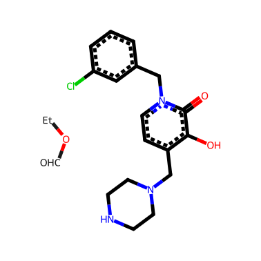 CCOC=O.O=c1c(O)c(CN2CCNCC2)ccn1Cc1cccc(Cl)c1